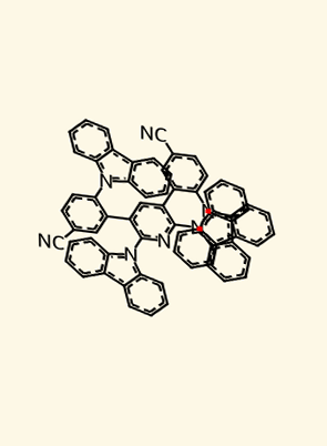 N#Cc1ccc(-n2c3ccccc3c3ccccc32)c(-c2cc(-c3cc(C#N)ccc3-n3c4ccccc4c4ccccc43)c(-n3c4ccccc4c4ccccc43)nc2-n2c3ccccc3c3ccccc32)c1